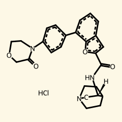 Cl.O=C(N[C@H]1CN2CCC1CC2)c1cc2cccc(-c3ccc(N4CCOCC4=O)cc3)c2o1